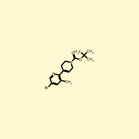 Cc1cc(Br)cnc1C1=CCN(C(=O)OC(C)(C)C)CC1